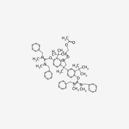 CC(=O)OCCOC(=O)CC(C)(c1ccc(OP(N(C)Cc2ccccc2)N(C)Cc2ccccc2)c(C(C)(C)C)c1)c1ccc(OP(N(C)Cc2ccccc2)N(C)Cc2ccccc2)c(C(C)(C)C)c1